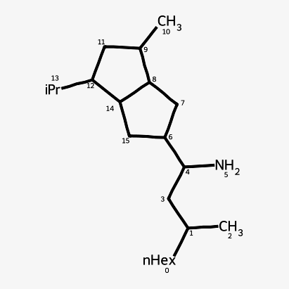 CCCCCCC(C)CC(N)C1CC2C(C)CC(C(C)C)C2C1